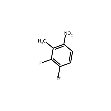 Cc1c([N+](=O)[O-])ccc(Br)c1F